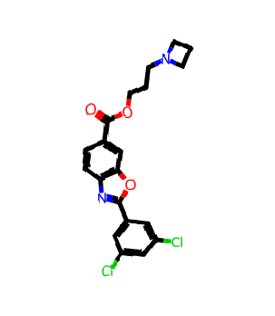 O=C(OCCCN1CCC1)c1ccc2nc(-c3cc(Cl)cc(Cl)c3)oc2c1